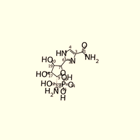 NC(=O)c1c[nH]c(C2O[C@H](C(N)(O)P(=O)(O)O)[C@@H](O)[C@H]2O)n1